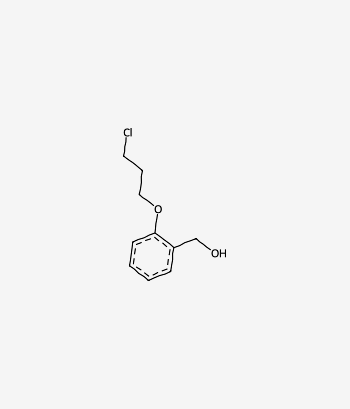 OCc1ccccc1OCCCCl